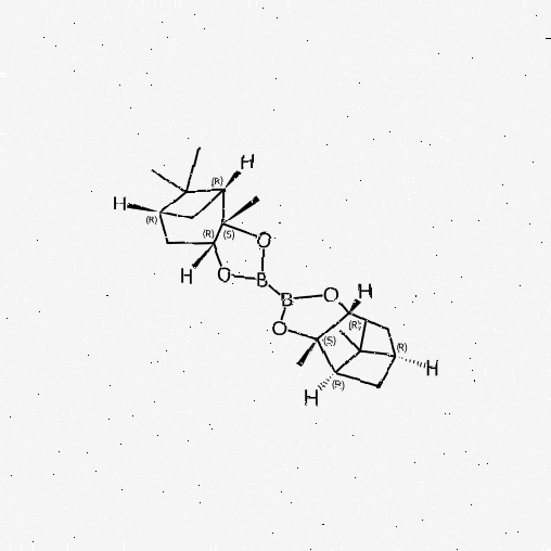 CC1(C)[C@@H]2C[C@H]1[C@]1(C)OB(B3O[C@@H]4C[C@H]5C[C@H](C5(C)C)[C@]4(C)O3)O[C@@H]1C2